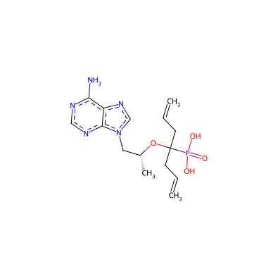 C=CCC(CC=C)(O[C@H](C)Cn1cnc2c(N)ncnc21)P(=O)(O)O